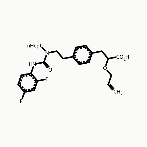 C=CCOC(Cc1ccc(CCN(CCCCCCC)C(=O)Nc2ccc(F)cc2F)cc1)C(=O)O